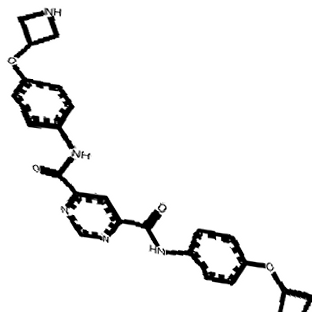 O=C(Nc1ccc(OC2CNC2)cc1)c1cc(C(=O)Nc2ccc(OC3CNC3)cc2)ncn1